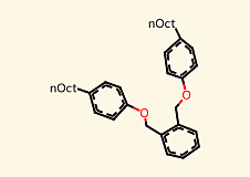 CCCCCCCCc1ccc(OCc2ccccc2COc2ccc(CCCCCCCC)cc2)cc1